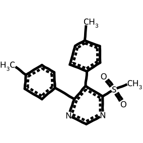 Cc1ccc(-c2ncnc(S(C)(=O)=O)c2-c2ccc(C)cc2)cc1